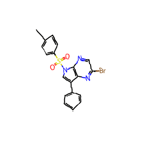 Cc1ccc(S(=O)(=O)n2cc(-c3cc[c]cc3)c3nc(Br)cnc32)cc1